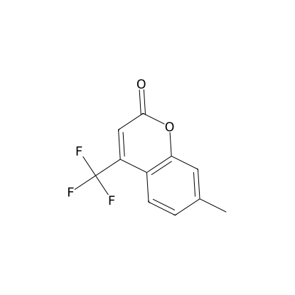 Cc1ccc2c(C(F)(F)F)cc(=O)oc2c1